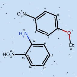 CCOc1ccc([N+](=O)[O-])cc1.Nc1ccccc1S(=O)(=O)O